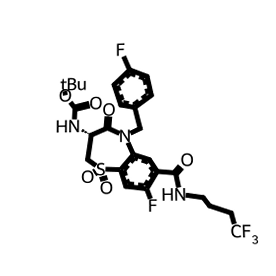 CC(C)(C)OC(=O)N[C@H]1CS(=O)(=O)c2cc(F)c(C(=O)NCCCC(F)(F)F)cc2N(Cc2ccc(F)cc2)C1=O